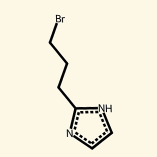 BrCCCc1ncc[nH]1